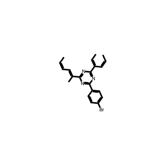 C/C=C\C=C(/C)c1nc(C(/C=C\C)=C/C)nc(-c2ccc(Br)cc2)n1